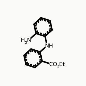 CCOC(=O)c1ccccc1Nc1ccccc1N